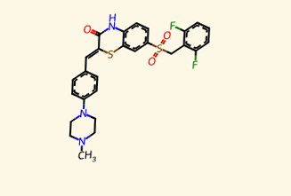 CN1CCN(c2ccc(/C=C3\Sc4cc(S(=O)(=O)Cc5c(F)cccc5F)ccc4NC3=O)cc2)CC1